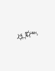 Nc1cnn(Cc2cccs2)c1